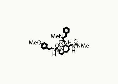 CNC(=O)NCC1CCC2CC[C@@H](C(=O)NCCc3ccc(OC)cc3)N2C(=O)C1NC(=O)[C@@H](Cc1ccccc1)NC